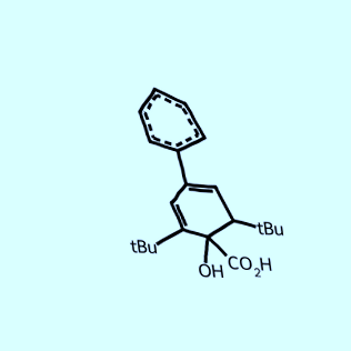 CC(C)(C)C1=CC(c2ccccc2)=CC(C(C)(C)C)C1(O)C(=O)O